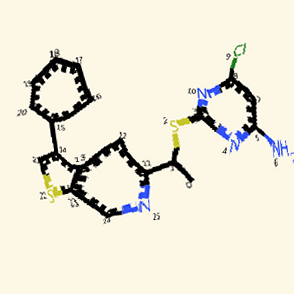 CC(Sc1nc(N)cc(Cl)n1)c1cc2c(-c3ccccc3)csc2cn1